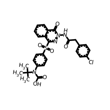 CC(C)(C)N(C(=O)O)c1ccc(S(=O)(=O)c2nn(NC(=O)Cc3ccc(Cl)cc3)c(=O)c3ccccc23)cc1